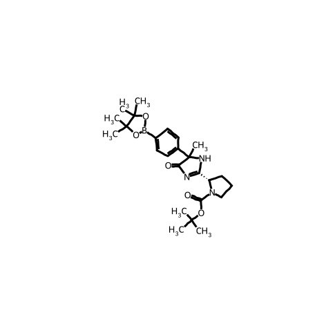 CC(C)(C)OC(=O)N1CCC[C@H]1C1=NC(=O)C(C)(c2ccc(B3OC(C)(C)C(C)(C)O3)cc2)N1